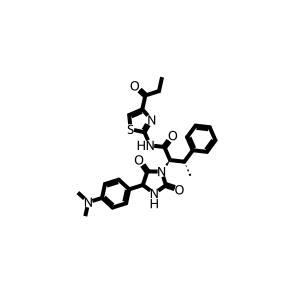 CCC(=O)c1csc(NC(=O)[C@H]([C@@H](C)c2ccccc2)N2C(=O)NC(c3ccc(N(C)C)cc3)C2=O)n1